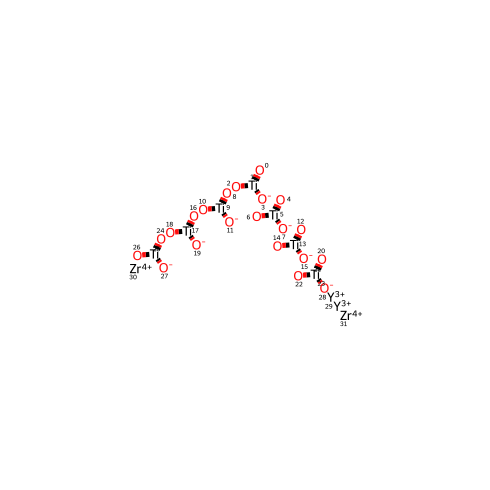 [O]=[Ti]([O-])[O-].[O]=[Ti]([O-])[O-].[O]=[Ti]([O-])[O-].[O]=[Ti]([O-])[O-].[O]=[Ti]([O-])[O-].[O]=[Ti]([O-])[O-].[O]=[Ti]([O-])[O-].[Y+3].[Y+3].[Zr+4].[Zr+4]